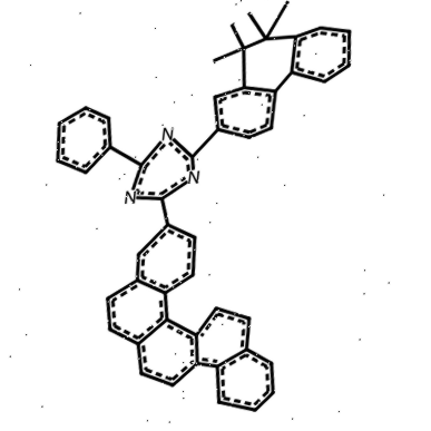 CC1(C)c2ccccc2-c2ccc(-c3nc(-c4ccccc4)nc(-c4ccc5c(ccc6ccc7c8ccccc8ccc7c65)c4)n3)cc2C1(C)C